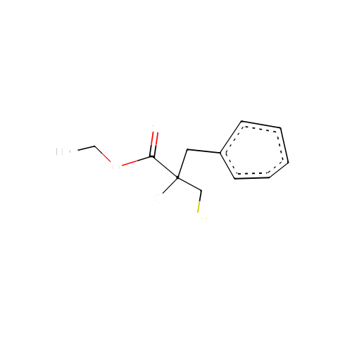 CCOC(=O)C(C)(CS)Cc1ccccc1